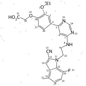 CCOc1cc(-c2cc(NCCn3c(C#N)cc4c(C)ccc(F)c43)ncn2)ccc1OCC(=O)O